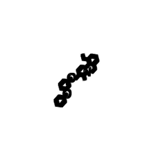 CCc1cccc(CC)c1-c1ccc(COc2cccc(Oc3ccccc3)c2)c(C)n1